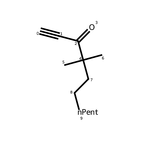 C#CC(=O)C(C)(C)CCCCCCC